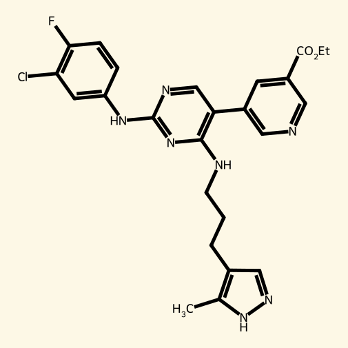 CCOC(=O)c1cncc(-c2cnc(Nc3ccc(F)c(Cl)c3)nc2NCCCc2cn[nH]c2C)c1